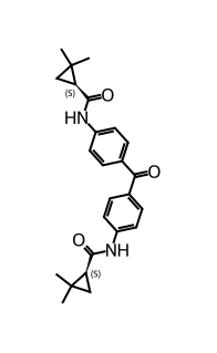 CC1(C)C[C@@H]1C(=O)Nc1ccc(C(=O)c2ccc(NC(=O)[C@H]3CC3(C)C)cc2)cc1